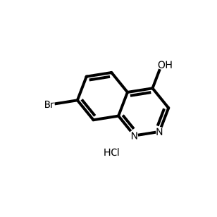 Cl.Oc1cnnc2cc(Br)ccc12